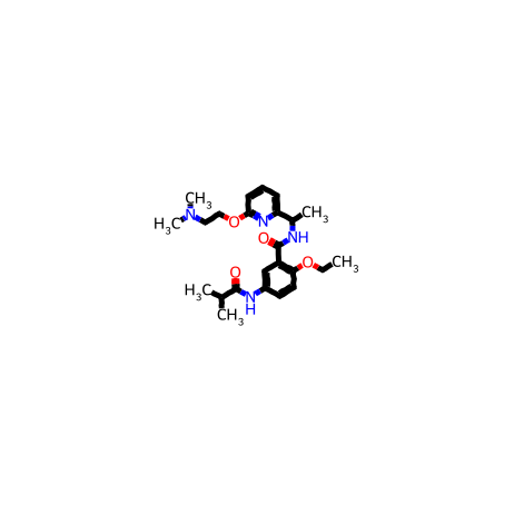 CCOc1ccc(NC(=O)C(C)C)cc1C(=O)NC(C)c1cccc(OCCN(C)C)n1